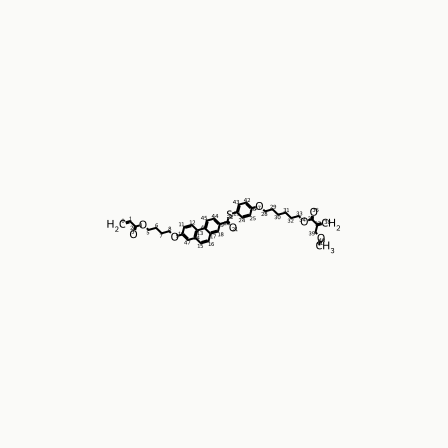 C=CC(=O)OCCCCOc1ccc2c(ccc3cc(C(=O)Sc4ccc(OCCCCCCOC(=O)C(=C)COC)cc4)ccc32)c1